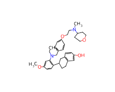 CCN(Cc1ccc(OCCN(C)C2CCOCC2)cc1)c1cc(OC)ccc1C1CCc2cc(O)ccc2C1